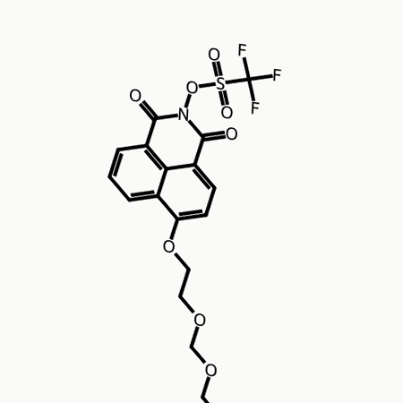 CCOCOCCOc1ccc2c3c(cccc13)C(=O)N(OS(=O)(=O)C(F)(F)F)C2=O